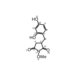 CON1C(=O)CC(Cc2ccc(O)cc2O)C1=O